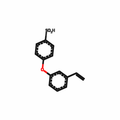 C=Cc1cccc(Oc2ccc(S(=O)(=O)O)cc2)c1